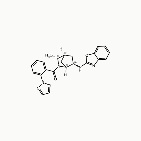 C[C@@H]1[C@H]2C[C@@H](Nc3nc4ccccc4o3)[C@H](C2)N1C(=O)c1ccccc1-n1nccn1